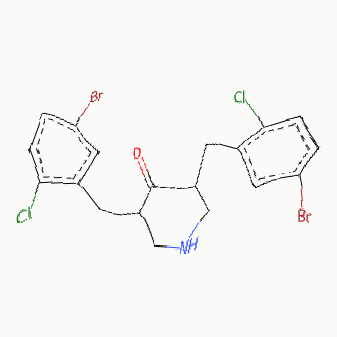 O=C1C(Cc2cc(Br)ccc2Cl)CNCC1Cc1cc(Br)ccc1Cl